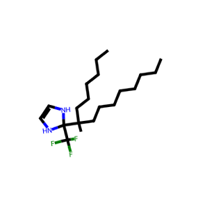 CCCCCCCCC(C)(CCCCCC)C1(C(F)(F)F)NC=CN1